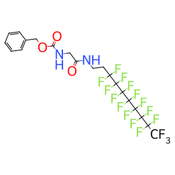 O=C(CNC(=O)OCc1ccccc1)NCCC(F)(F)C(F)(F)C(F)(F)C(F)(F)C(F)(F)C(F)(F)C(F)(F)C(F)(F)F